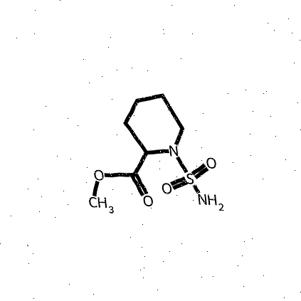 COC(=O)C1CCCCN1S(N)(=O)=O